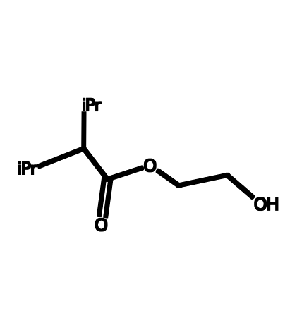 CC(C)C(C(=O)OCCO)C(C)C